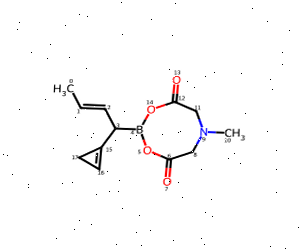 CC=CC(B1OC(=O)CN(C)CC(=O)O1)C1=CC1